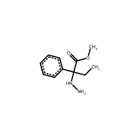 CCC(NN)(C(=O)OC)c1ccccc1